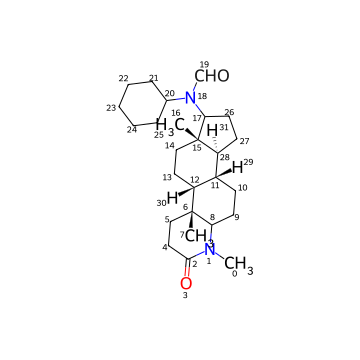 CN1C(=O)CC[C@@]2(C)C1CC[C@@H]1[C@H]2CC[C@]2(C)C(N(C=O)C3CCCCC3)CC[C@@H]12